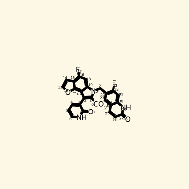 O=C(O)c1c(-c2ccc[nH]c2=O)c2c3occc3c(F)cc2n1Cc1cc2ccc(=O)[nH]c2cc1F